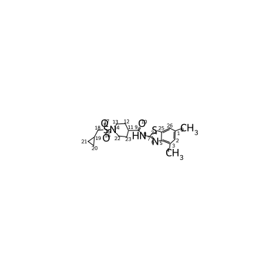 Cc1cc(C)c2nc(NC(=O)C3CCN(S(=O)(=O)CC4CC4)CC3)sc2c1